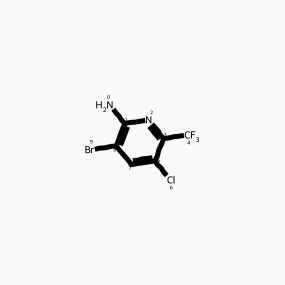 Nc1nc(C(F)(F)F)c(Cl)cc1Br